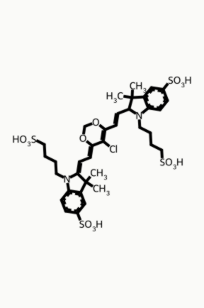 CC1(C)/C(=C\C=C2/OCOC(/C=C/C3N(CCCCS(=O)(=O)O)c4ccc(S(=O)(=O)O)cc4C3(C)C)=C2Cl)N(CCCCS(=O)(=O)O)c2ccc(S(=O)(=O)O)cc21